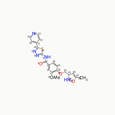 COc1cc(C(=O)Nc2nnc(-c3ccncc3)s2)ccc1OCC1C=C(C)ON1